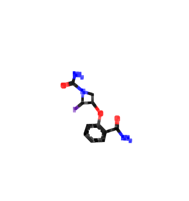 NC(=O)c1ccccc1OC1CN(C(N)=O)C1I